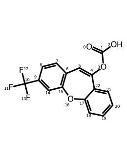 O=C(O)OC1=Cc2ccc(C(F)(F)F)cc2Oc2ccccc21